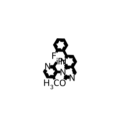 Cc1ccnc(C(C)C)c1-n1c(=O)ncc2ccc(-c3ccccc3F)nc21